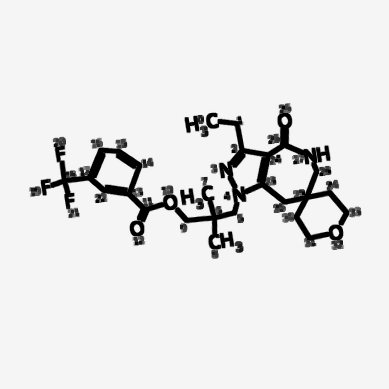 CCc1nn(CC(C)(C)COC(=O)c2cccc(C(F)(F)F)c2)c2c1C(=O)NCC1(CCOCC1)C2